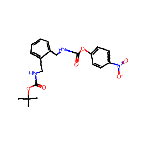 CC(C)(C)OC(=O)NCc1ccccc1CNC(=O)Oc1ccc([N+](=O)[O-])cc1